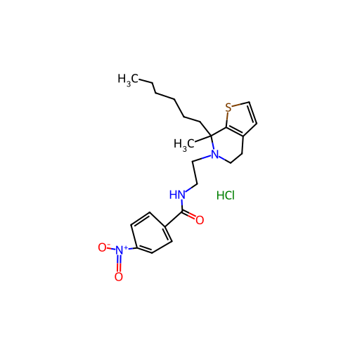 CCCCCCC1(C)c2sccc2CCN1CCNC(=O)c1ccc([N+](=O)[O-])cc1.Cl